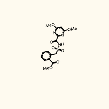 COC(=O)c1ccccc1CS(=O)(=O)NC(=O)c1nc(OC)cc(OC)n1